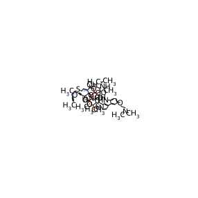 CC#C/C=C\C#C[C@H](OC1OC(C)C(SC)(C(=O)c2nccc3c2[nH]c2ccc(OCCN(C)C)cc23)C(O)C1OC1CC(OC)C(NC(C)C)CO1)C1=C(NC(=O)OC)C(=O)C[C@H](O)/C1=C/CSC(C)=O